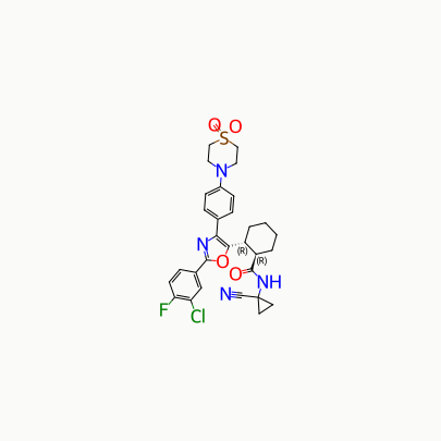 N#CC1(NC(=O)[C@@H]2CCCC[C@H]2c2oc(-c3ccc(F)c(Cl)c3)nc2-c2ccc(N3CCS(=O)(=O)CC3)cc2)CC1